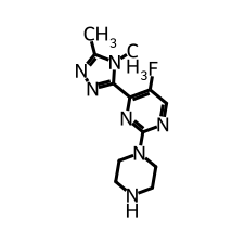 Cc1nnc(-c2nc(N3CCNCC3)ncc2F)n1C